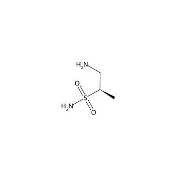 C[C@H](CN)S(N)(=O)=O